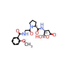 COc1ccccc1C(=O)NCC(=O)N1CCC[C@H]1C(=O)N[C@H]1CC(=O)O[C@H]1O